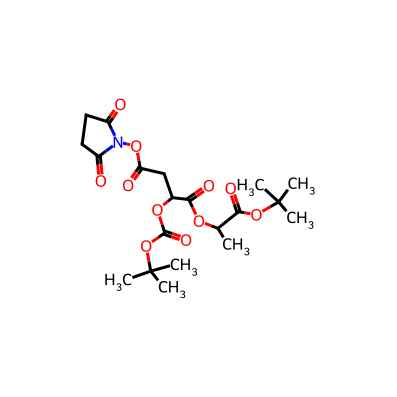 CC(OC(=O)C(CC(=O)ON1C(=O)CCC1=O)OC(=O)OC(C)(C)C)C(=O)OC(C)(C)C